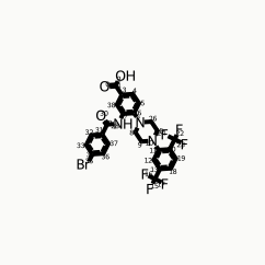 O=C(O)c1ccc(N2CCN(c3cc(C(F)(F)F)ccc3C(F)(F)F)CC2)c(NC(=O)c2ccc(Br)cc2)c1